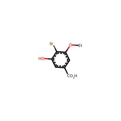 CCOc1cc(C(=O)O)cc(O)c1Br